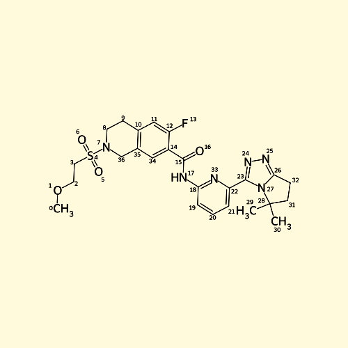 COCCS(=O)(=O)N1CCc2cc(F)c(C(=O)Nc3cccc(-c4nnc5n4C(C)(C)CC5)n3)cc2C1